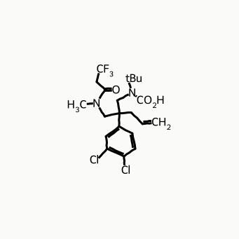 C=CCC(CN(C)C(=O)CC(F)(F)F)(CN(C(=O)O)C(C)(C)C)c1ccc(Cl)c(Cl)c1